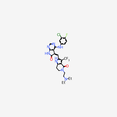 CCN(CC)CCN1CCc2[nH]c(/C=C3\C(=O)Nc4ncnc(Nc5ccc(F)c(Cl)c5)c43)c(C(F)(F)F)c2C1=O